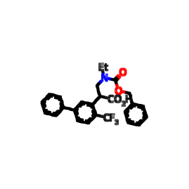 CCN(CC(C(=O)O)c1cc(-c2ccccc2)ccc1C(F)(F)F)C(=O)OCc1ccccc1